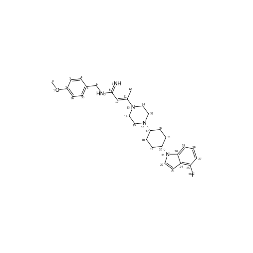 COc1ccc(CNC(=N)/C=C(\C)N2CCN([C@H]3CC[C@@H](n4ccc5c(F)cccc54)CC3)CC2)cc1